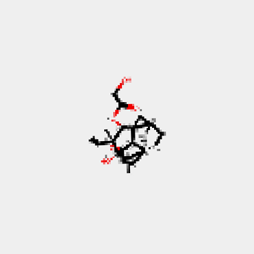 C=C[C@]1(C)[C@@H](OC(=O)CO)[C@]23C[C@@H]2CC[C@]2(CCC(=O)[C@H]23)[C@@H](C)[C@@H]1O